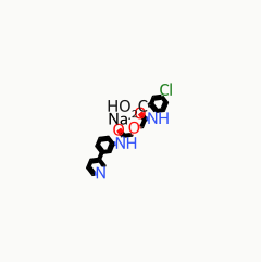 O=C(COCC(=O)Nc1ccc(Cl)cc1C(=O)O)Nc1cccc(-c2cccnc2)c1.[Na]